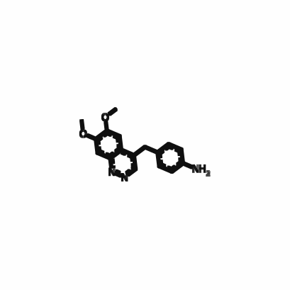 COc1cc2nncc(Cc3ccc(N)cc3)c2cc1OC